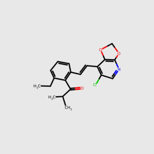 CCc1cccc(/C=C/c2c(Cl)cnc3c2OCO3)c1C(=O)C(C)C